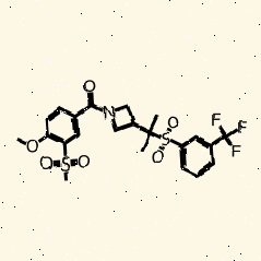 COc1ccc(C(=O)N2CC(C(C)(C)S(=O)(=O)c3cccc(C(F)(F)F)c3)C2)cc1S(C)(=O)=O